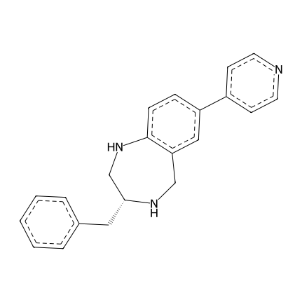 c1ccc(C[C@@H]2CNc3ccc(-c4ccncc4)cc3CN2)cc1